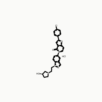 Cl.O=c1c2cc(-c3ccc(Cl)cc3)oc2ccn1-c1ccc2c(cnn2CCN2CC[C@@H](O)C2)c1